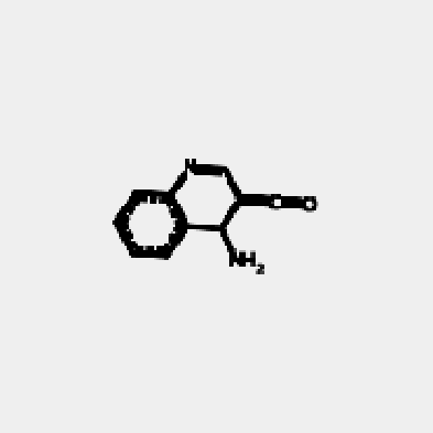 NC1C(=C=O)C=Nc2ccccc21